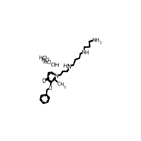 Cc1c(OCc2ccccc2)c(=O)ccn1CCCNCCCCNCCCN.Cl.Cl.Cl.Cl